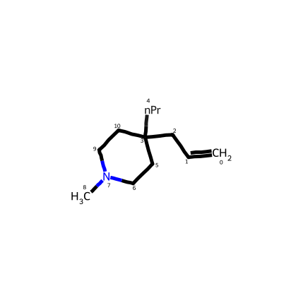 C=CCC1(CCC)CCN(C)CC1